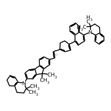 CC1(C)c2cc(/C=C/C3=CC=C(c4ccc(N5c6ccccc6CCC5(C)C)c5ccccc45)CC3)ccc2-c2ccc(N3C4=C(CCC=C4)CCC3(C)C)cc21